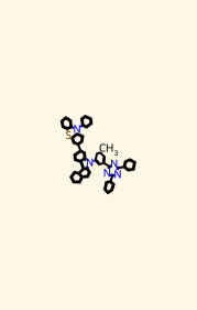 CC1C=C(c2nc(-c3ccccc3)nc(-c3ccccc3)n2)C=C(n2c3cc(-c4ccc5c(c4)Sc4ccccc4N5c4ccccc4)ccc3c3c4ccccc4ccc32)C1